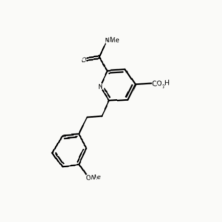 CNC(=O)c1cc(C(=O)O)cc(CCc2cccc(OC)c2)n1